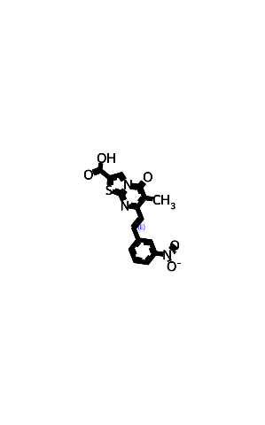 Cc1c(/C=C/c2cccc([N+](=O)[O-])c2)nc2sc(C(=O)O)cn2c1=O